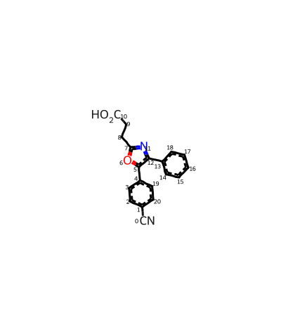 N#Cc1ccc(-c2oc(CCC(=O)O)nc2-c2ccccc2)cc1